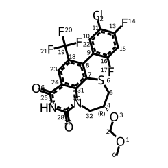 COCO[C@H]1CSc2c(-c3cc(Cl)c(F)cc3F)c(C(F)(F)F)cc3c(=O)[nH]c(=O)n(c23)C1